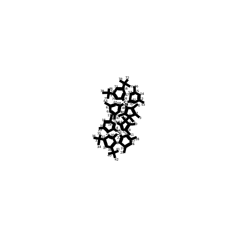 CC1=C(C)C(C)(C2(C)C(C)=C(C)C([Si](c3cc(C)cc(C)c3)(c3cc(C)cc(C)c3)c3cc(C(C)(C)C)cc(C(C)(C)C)c3)=C2C)C(C)=C1[Si](c1cc(C)cc(C)c1)(c1cc(C)cc(C)c1)c1cc(C(C)(C)C)cc(C(C)(C)C)c1